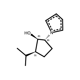 CC(C)[C@@H]1CC[C@@H](n2cccc2)[C@@H]1O